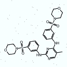 Cc1cnc(Nc2cccc(S(=O)(=O)N3CCOCC3)c2)nc1Nc1cccc(S(=O)(=O)N2CCOCC2)c1